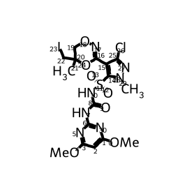 COc1cc(OC)nc(NC(=O)NS(=O)(=O)c2c(C3=NOCC(C)(CI)O3)c(Cl)nn2C)n1